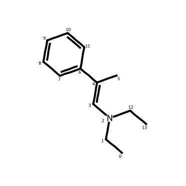 CCN(/C=C(\C)c1ccccc1)CC